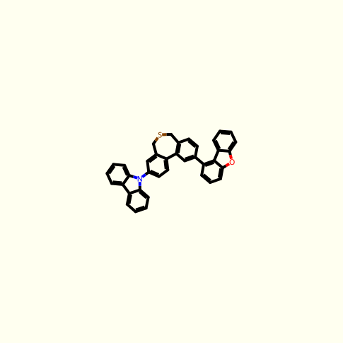 c1ccc2c(c1)oc1cccc(-c3ccc4c(c3)-c3ccc(-n5c6ccccc6c6ccccc65)cc3CSC4)c12